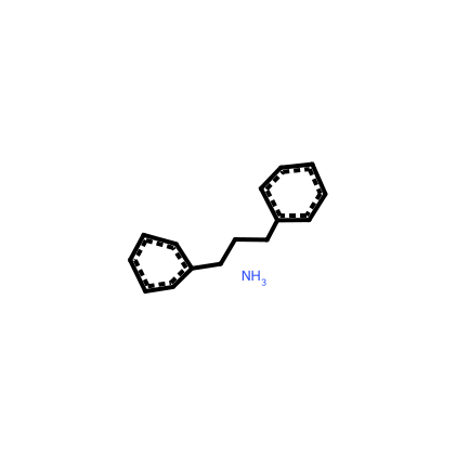 N.c1ccc(CCCc2ccccc2)cc1